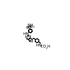 NS(=O)(=O)c1cccc(Nc2ncc3cnn(CC4CCC(CNC(=O)O)CC4)c3n2)c1